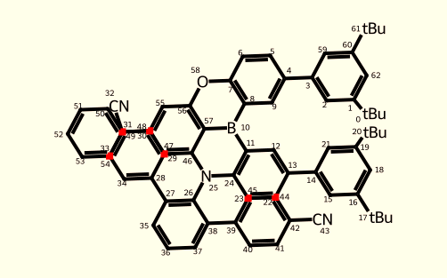 CC(C)(C)c1cc(-c2ccc3c(c2)B2c4cc(-c5cc(C(C)(C)C)cc(C(C)(C)C)c5)ccc4N(c4c(-c5ccc(C#N)cc5)cccc4-c4ccc(C#N)cc4)c4cc(-c5ccccc5)cc(c42)O3)cc(C(C)(C)C)c1